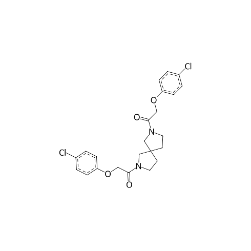 O=C(COc1ccc(Cl)cc1)N1CCC2(CCN(C(=O)COc3ccc(Cl)cc3)C2)C1